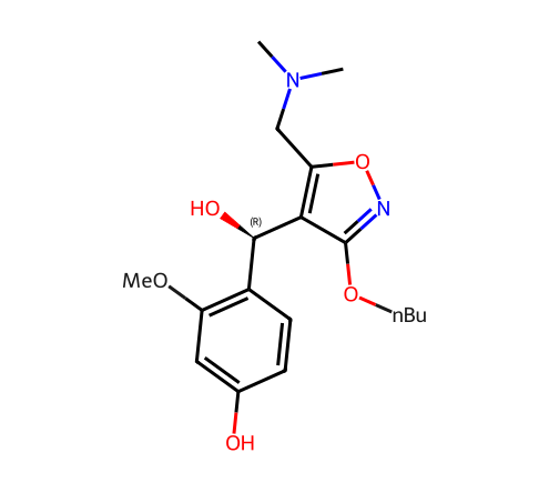 CCCCOc1noc(CN(C)C)c1[C@H](O)c1ccc(O)cc1OC